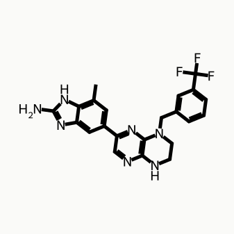 Cc1cc(-c2cnc3c(n2)N(Cc2cccc(C(F)(F)F)c2)CCN3)cc2nc(N)[nH]c12